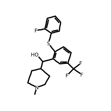 CN1CCC(C(O)c2cc(C(F)(F)F)ccc2Sc2ccccc2F)CC1